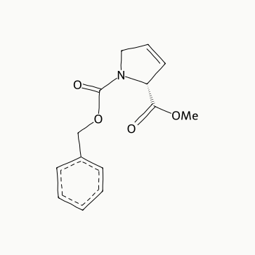 COC(=O)[C@H]1C=CCN1C(=O)OCc1ccccc1